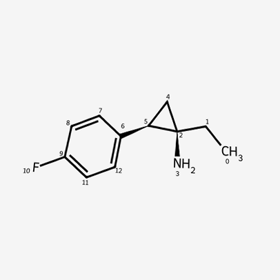 CC[C@@]1(N)C[C@@H]1c1ccc(F)cc1